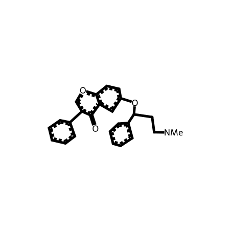 CNCCC(Oc1ccc2occ(-c3ccccc3)c(=O)c2c1)c1ccccc1